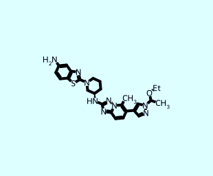 CCOC(C)n1cc(-c2ccc3nc(N[C@@H]4CCCN(c5nc6cc(N)ccc6s5)C4)nn3c2C)cn1